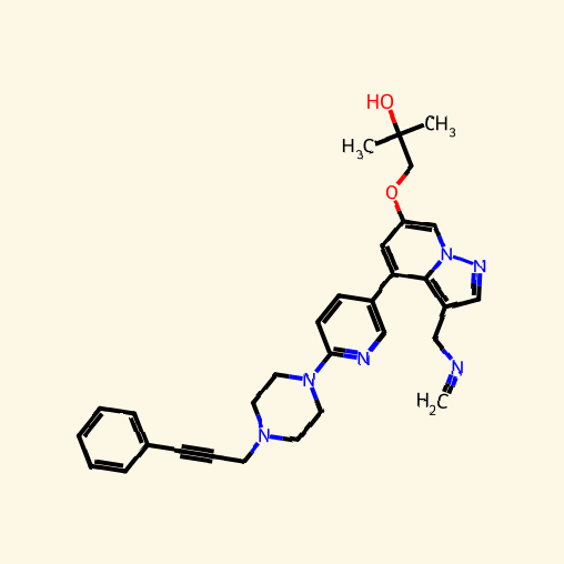 C=NCc1cnn2cc(OCC(C)(C)O)cc(-c3ccc(N4CCN(CC#Cc5ccccc5)CC4)nc3)c12